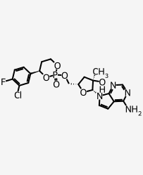 C[C@@]1(O)C[C@@H](COP2(=O)OCC[C@H](c3ccc(F)c(Cl)c3)O2)O[C@H]1n1ccc2c(N)ncnc21